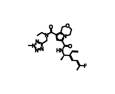 C=C/C(=C\C=C(/C)F)[C@@H](C)NC(=O)c1cc(C(=O)N(CC)Cc2nnn(C)n2)c2n1CCOC2